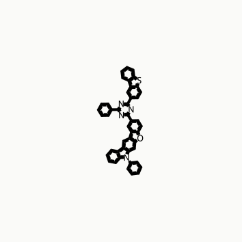 c1ccc(-c2nc(-c3ccc4oc5cc6c(cc5c4c3)c3ccccc3n6-c3ccccc3)nc(-c3ccc4sc5ccccc5c4c3)n2)cc1